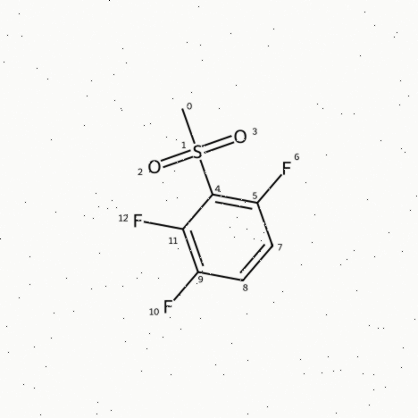 CS(=O)(=O)c1c(F)ccc(F)c1F